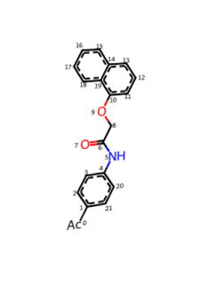 CC(=O)c1ccc(NC(=O)COc2cccc3ccccc23)cc1